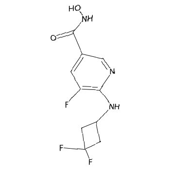 O=C(NO)c1cnc(NC2CC(F)(F)C2)c(F)c1